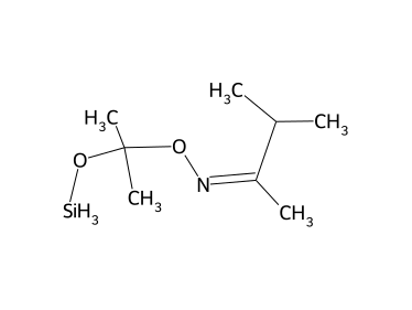 CC(=NOC(C)(C)O[SiH3])C(C)C